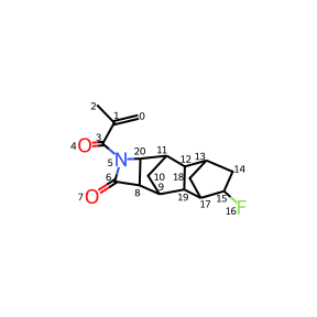 C=C(C)C(=O)N1C(=O)C2C3CC(C4C5CC(F)C(C5)C34)C21